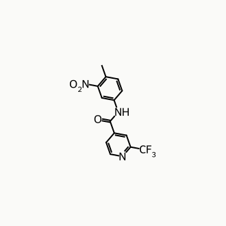 Cc1ccc(NC(=O)c2ccnc(C(F)(F)F)c2)cc1[N+](=O)[O-]